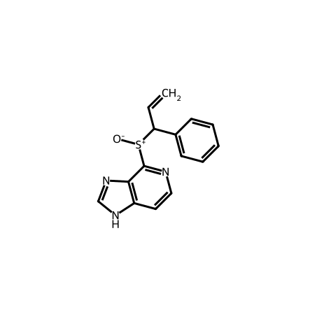 C=CC(c1ccccc1)[S+]([O-])c1nccc2[nH]cnc12